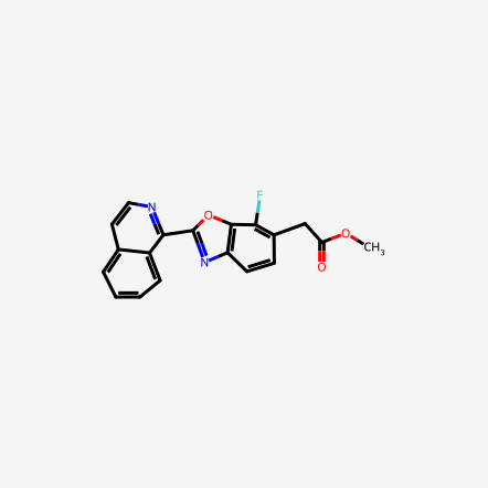 COC(=O)Cc1ccc2nc(-c3nccc4ccccc34)oc2c1F